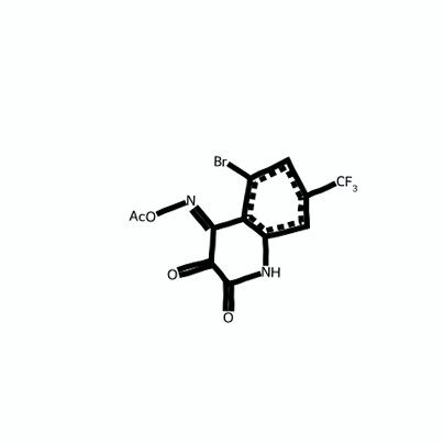 CC(=O)ON=C1C(=O)C(=O)Nc2cc(C(F)(F)F)cc(Br)c21